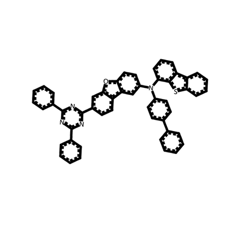 c1ccc(-c2ccc(N(c3ccc4oc5cc(-c6nc(-c7ccccc7)nc(-c7ccccc7)n6)ccc5c4c3)c3cccc4c3sc3ccccc34)cc2)cc1